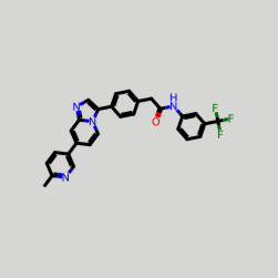 Cc1ccc(-c2ccn3c(-c4ccc(CC(=O)Nc5cccc(C(F)(F)F)c5)cc4)cnc3c2)cn1